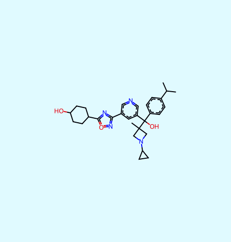 CC(C)c1ccc(C(O)(c2cncc(-c3noc(C4CCC(O)CC4)n3)c2)C2(C)CN(C3CC3)C2)cc1